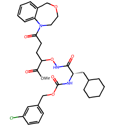 COC(=O)C(CCC(=O)N1CCOCc2ccccc21)ONC(=O)[C@H](CC1CCCCC1)NC(=O)OCc1cccc(Cl)c1